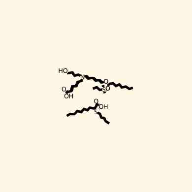 CCCCCCCC(OC=CC=CC=CN(CC=CC=CC(=O)O)CCCCO)O[Si](C)(C)CCC.CCCCCCCCC(SCCCCC)C(=O)O